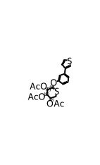 CC(=O)O[C@@H]1[C@@H](OC(C)=O)[C@@H](Oc2cccc(-c3ccsc3)c2)SC[C@H]1OC(C)=O